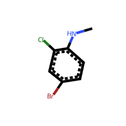 CNc1ccc(Br)cc1Cl